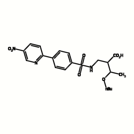 CCCCOC(C)C(CNS(=O)(=O)c1ccc(-c2ccc([N+](=O)[O-])cn2)cc1)C(=O)O